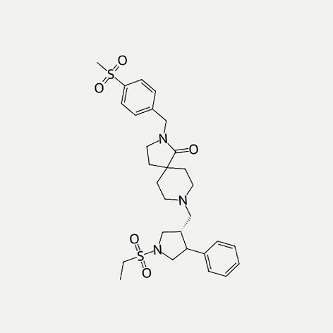 CCS(=O)(=O)N1CC(c2ccccc2)[C@@H](CN2CCC3(CC2)CCN(Cc2ccc(S(C)(=O)=O)cc2)C3=O)C1